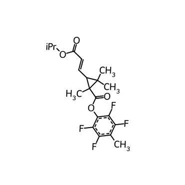 Cc1c(F)c(F)c(OC(=O)C2(C)C(C=CC(=O)OC(C)C)C2(C)C)c(F)c1F